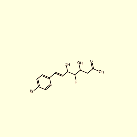 O=C(O)CC(O)C(F)C(O)/C=C/c1ccc(Br)cc1